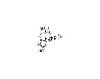 Cl.Cl.NC(Cc1ncc[nH]1)C(=O)O.O.O.O